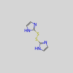 c1c[nH]c(SSc2ncc[nH]2)n1